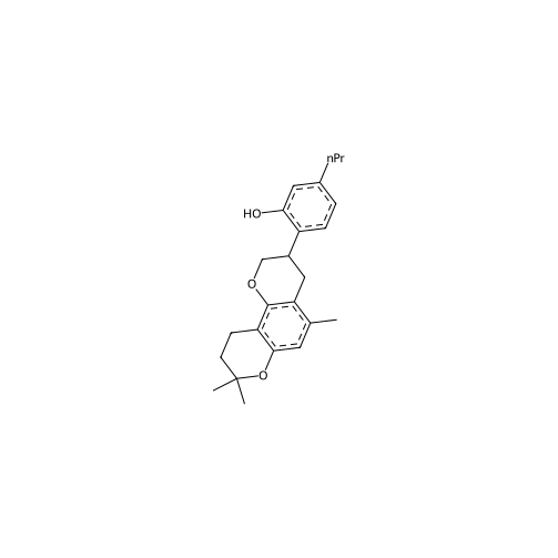 CCCc1ccc(C2COc3c(c(C)cc4c3CCC(C)(C)O4)C2)c(O)c1